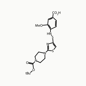 COc1cc(C(=O)O)ccc1NSc1csc(N2CCN(C(=O)OC(C)(C)C)CC2)n1